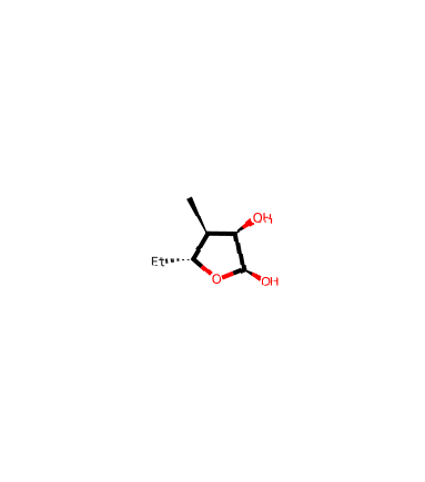 CC[C@H]1O[C@H](O)[C@H](O)[C@@H]1C